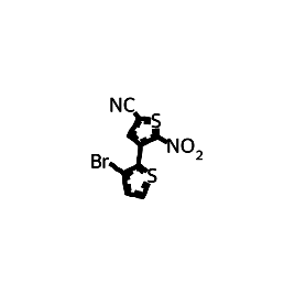 N#Cc1cc(-c2sccc2Br)c([N+](=O)[O-])s1